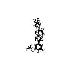 Cc1cc(OC(C)C)cc(-c2ncn(/C=C\C(=O)N3CC(C)(F)C3)n2)c1